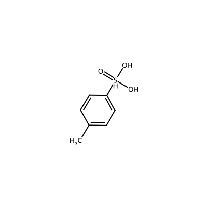 Cc1ccc([SH](=O)(O)O)cc1